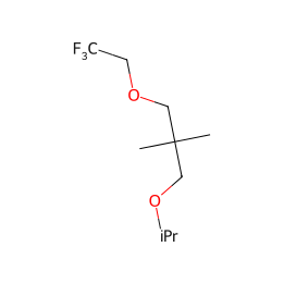 CC(C)OCC(C)(C)COCC(F)(F)F